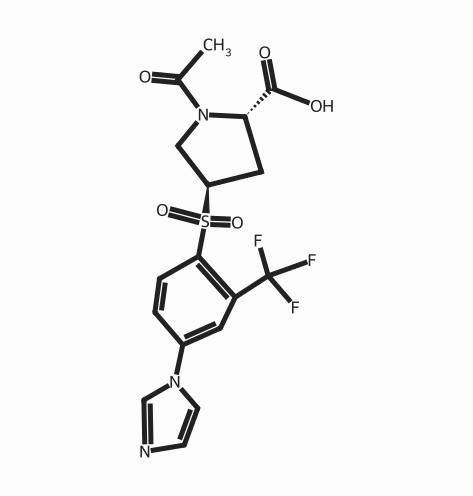 CC(=O)N1C[C@H](S(=O)(=O)c2ccc(-n3ccnc3)cc2C(F)(F)F)C[C@H]1C(=O)O